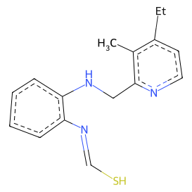 CCc1ccnc(CNc2ccccc2/N=C/S)c1C